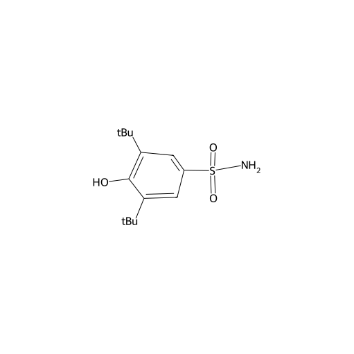 CC(C)(C)c1cc(S(N)(=O)=O)cc(C(C)(C)C)c1O